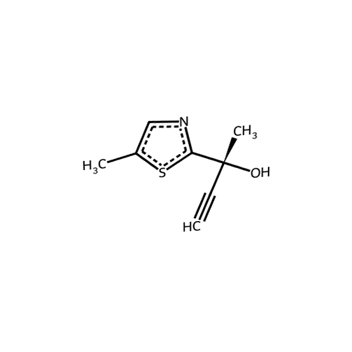 C#C[C@@](C)(O)c1ncc(C)s1